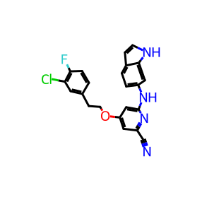 N#Cc1cc(OCCc2ccc(F)c(Cl)c2)cc(Nc2ccc3cc[nH]c3c2)n1